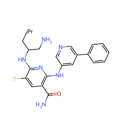 CC(C)CC(CN)Nc1nc(Nc2cncc(-c3ccccc3)c2)c(C(N)=O)cc1F